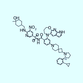 CC1(O)CCC(CNc2ncc(S(=O)(=O)NC(=O)c3ccc(N4CCC5(CC4)CC(N4CCC[C@H]4c4ccccc4C4CC4)C5)cc3N3CCCOc4nc5[nH]ccc5cc43)cc2[N+](=O)[O-])CC1